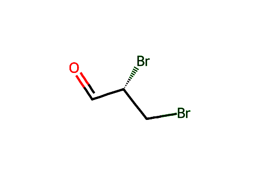 O=C[C@H](Br)CBr